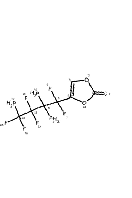 O=c1occ(C(F)(F)C(P)(P)C(F)(F)C(F)(F)P)o1